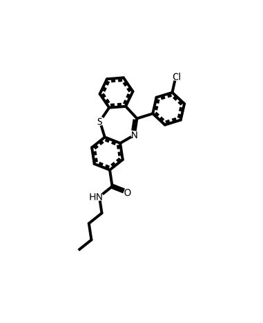 CCCCNC(=O)c1ccc2c(c1)N=C(c1cccc(Cl)c1)c1ccccc1S2